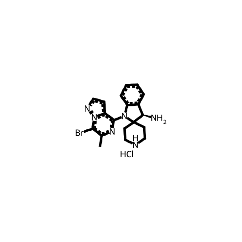 Cc1nc(N2c3ccccc3[C@@H](N)C23CCNCC3)c2ccnn2c1Br.Cl